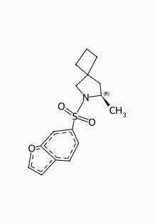 C[C@@H]1CC2(CCC2)CN1S(=O)(=O)c1ccc2ccoc2c1